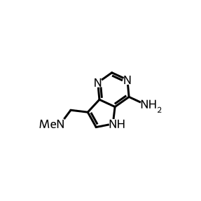 CNCc1c[nH]c2c(N)ncnc12